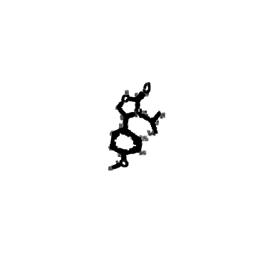 COc1ccc(C2COC(=O)N2C(C)C)cc1